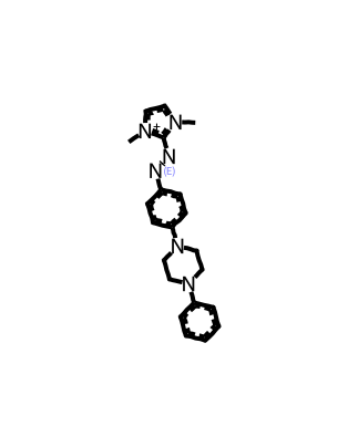 Cn1cc[n+](C)c1/N=N/c1ccc(N2CCN(c3ccccc3)CC2)cc1